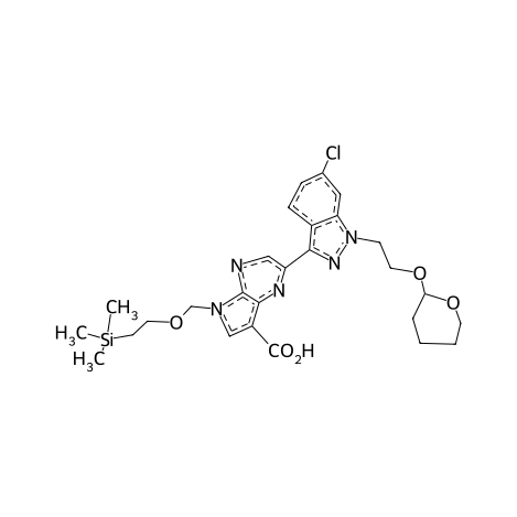 C[Si](C)(C)CCOCn1cc(C(=O)O)c2nc(-c3nn(CCOC4CCCCO4)c4cc(Cl)ccc34)cnc21